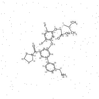 CC(C)C[C@@H](Oc1nc(Oc2cc(C(=O)N3CCCC3)cc(-c3cccc(CN)c3)c2)c(F)cc1F)C(=O)O